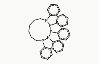 c1ccc(P2CCCCCCP(c3ccccc3)P(c3ccccc3)P(c3ccccc3)P2c2ccccc2)cc1